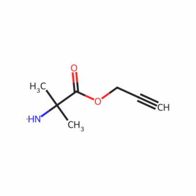 C#CCOC(=O)C(C)(C)[NH]